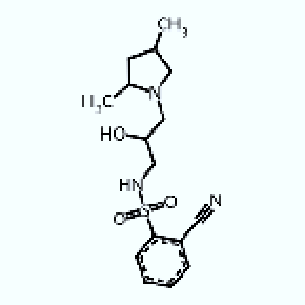 CC1CC(C)N(CC(O)CNS(=O)(=O)c2ccccc2C#N)C1